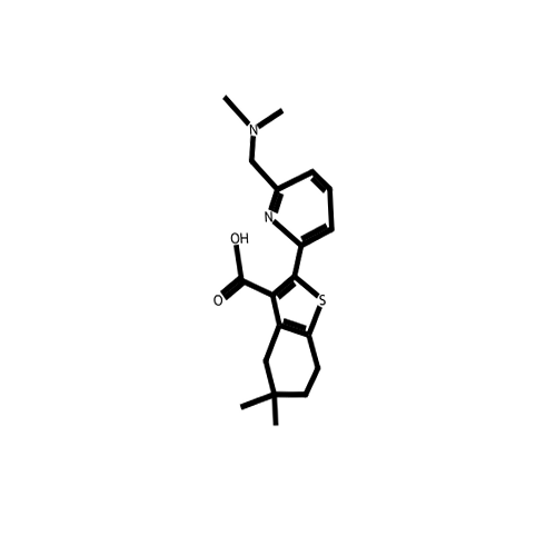 CN(C)Cc1cccc(-c2sc3c(c2C(=O)O)CC(C)(C)CC3)n1